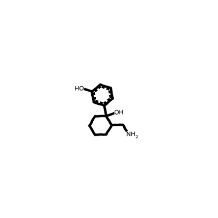 NCC1CCCCC1(O)c1cccc(O)c1